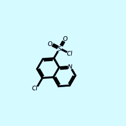 O=S(=O)(Cl)c1ccc(Cl)c2cccnc12